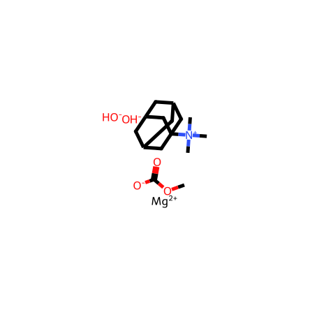 COC(=O)[O-].C[N+](C)(C)C12CC3CC(CC(C3)C1)C2.[Mg+2].[OH-].[OH-]